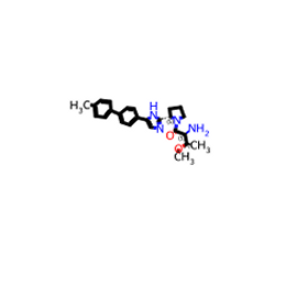 CO[C@H](C)[C@H](N)C(=O)N1CCC[C@H]1c1ncc(-c2ccc(-c3ccc(C)cc3)cc2)[nH]1